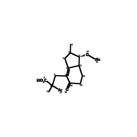 CCOC(=O)C(C)(CC1=C2CC(C)[C@H](OC(C)(C)C)C2CCC1=O)C(C)=O